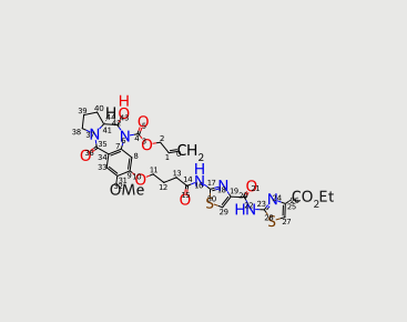 C=CCOC(=O)N1c2cc(OCCCC(=O)Nc3nc(C(=O)Nc4nc(C(=O)OCC)cs4)cs3)c(OC)cc2C(=O)N2CCC[C@H]2C1O